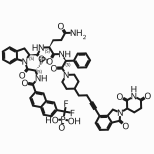 CC(C)C[C@H](NC(=O)c1ccc2ccc(C(F)(F)P(=O)(O)O)cc2c1)C(=O)N1c2ccccc2C[C@H]1C(=O)N[C@@H](CCC(N)=O)C(=O)N[C@H](C(=O)N1CCC(CCC#Cc2cccc3c2CN(C2CCC(=O)NC2=O)C3=O)CC1)c1ccccc1